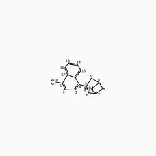 Clc1ccc(C2CC3CC(C2)N3)c2ccccc12